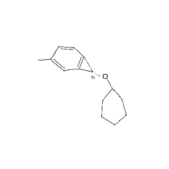 Cc1ccc2c(c1)[C@H]2OC1CCCCC1